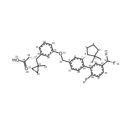 CC1(C)CCC[C@H]1c1cc(COc2cccc([C@@H](CC(=O)O)C3(C)CC3)c2)ccc1-c1cc(C(F)F)ccc1F